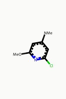 CNc1cc(Cl)nc(OC)c1